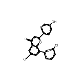 O=c1cc(-c2ccc(O)cn2)oc2c(-c3cccc(Cl)c3)cc(Cl)cc12